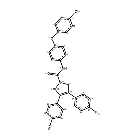 O=C(Nc1ccc(Oc2ccc(Cl)cc2)cc1)N1CC(c2ccc(F)cc2)=C(c2ccc(Cl)cc2)N1